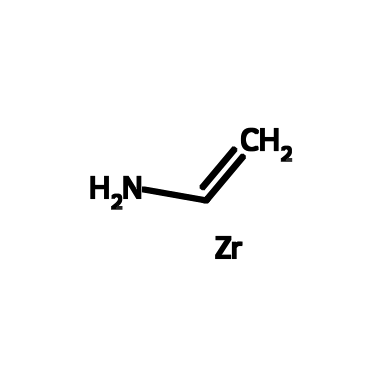 C=CN.[Zr]